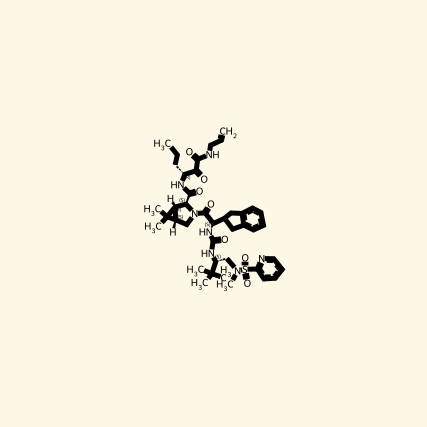 C=CCNC(=O)C(=O)[C@@H](CCC)NC(=O)[C@@H]1[C@@H]2[C@H](CN1C(=O)[C@@H](NC(=O)N[C@H](CN(C)S(=O)(=O)c1ccccn1)C(C)(C)C)C1Cc3ccccc3C1)C2(C)C